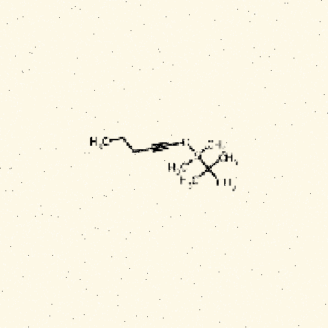 CCCC#CO[Si](C)(C)C(C)(C)C